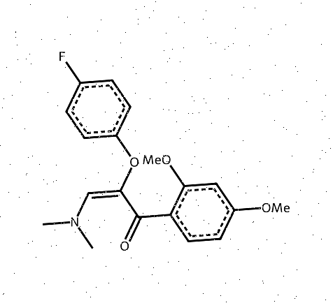 COc1ccc(C(=O)C(=CN(C)C)Oc2ccc(F)cc2)c(OC)c1